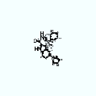 NC(=O)c1[nH]c2ccc(-n3cccc3)cc2c1S(=O)(=O)c1ccccc1